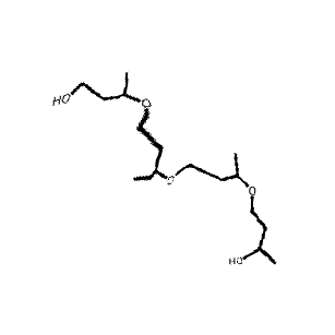 CC(O)CCOC(C)CCOC(C)CCOC(C)CCO